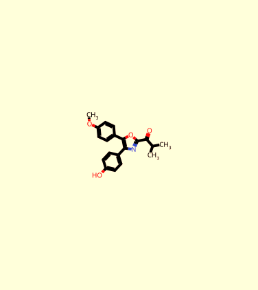 COc1ccc(-c2oc(C(=O)C(C)C)nc2-c2ccc(O)cc2)cc1